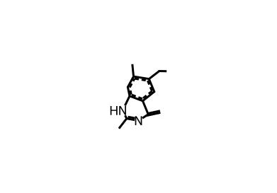 C=C1N=C(C)Nc2cc(C)c(CC)cc21